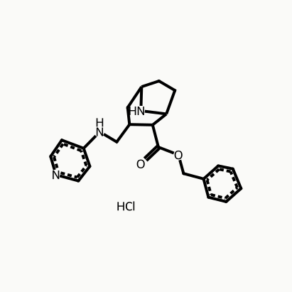 Cl.O=C(OCc1ccccc1)C1C(CNc2ccncc2)CC2CCC1N2